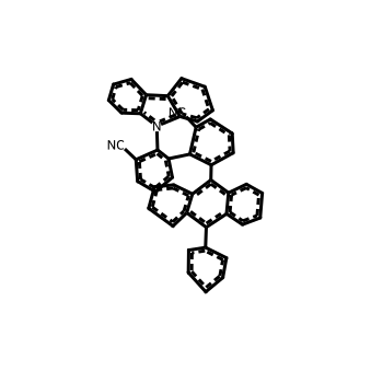 N#Cc1cccc(-c2c3ccccc3c(-c3ccccc3)c3ccccc23)c1-c1cccc(C#N)c1-n1c2ccccc2c2ccccc21